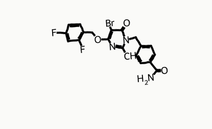 Cc1nc(OCc2ccc(F)cc2F)c(Br)c(=O)n1Cc1ccc(C(N)=O)cc1